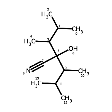 CC(C)C(C)C(O)(C#N)C(C)C(C)C